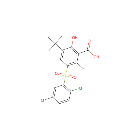 Cc1c(S(=O)(=O)c2cc(Cl)ccc2Cl)cc(C(C)(C)C)c(O)c1C(=O)O